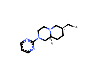 CC(=O)OC[C@H]1CC[C@H]2CN(c3ncccn3)CCN2C1